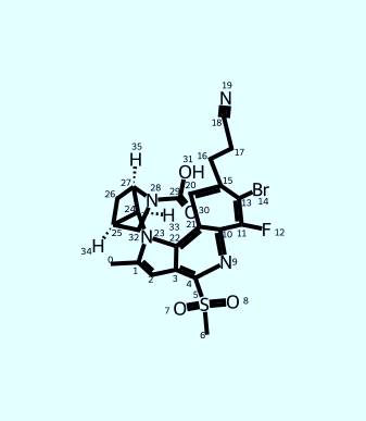 Cc1cc2c(S(C)(=O)=O)nc3c(F)c(Br)c(CCC#N)cc3c2n1[C@H]1[C@@H]2C[C@H]1N(C(=O)O)C2